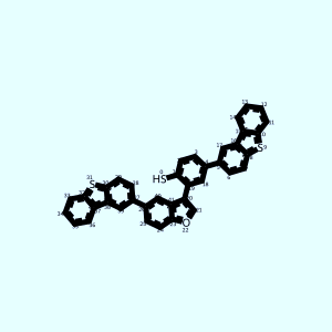 Sc1ccc(-c2ccc3sc4ccccc4c3c2)cc1-c1coc2ccc(-c3ccc4sc5ccccc5c4c3)cc12